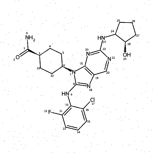 NC(=O)[C@H]1CC[C@@H](n2c(Nc3c(F)cccc3Cl)nc3cnc(NC4CCC[C@H]4O)nc32)CC1